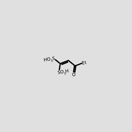 CCC(=O)C=C(S(=O)(=O)O)S(=O)(=O)O